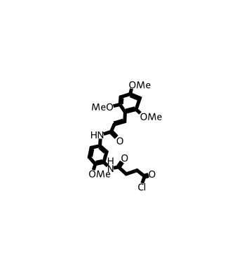 COc1cc(OC)c(/C=C/C(=O)Nc2ccc(OC)c(NC(=O)CCC(=O)Cl)c2)c(OC)c1